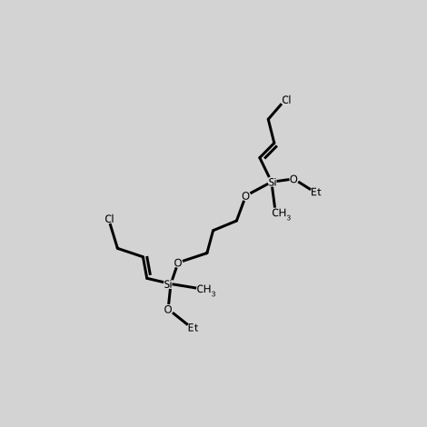 CCO[Si](C)(C=CCCl)OCCCO[Si](C)(C=CCCl)OCC